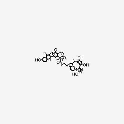 CCc1c2c(nc3ccc(O)cc13)-c1cc3c(c(=O)n1C2)COC(=O)C3(CC)OC(=O)N(C)CCn1cc2c3cc(ccc31)-n1c(O)nnc1-c1cc(c(O)cc1O)C2C